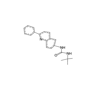 CC(C)(C)NC(=O)Nc1ccc2nc(-c3ccccc3)ccc2c1